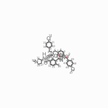 COc1ccc(CN(Cc2ccc(OC)cc2)S(=O)(=O)c2c(S(=O)(=O)N[C@@H]3CCN(C)C3)ccc(I)c2-c2nnn(Cc3ccc(OC)cc3)n2)cc1